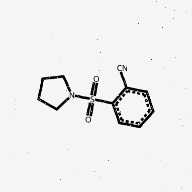 N#Cc1ccccc1S(=O)(=O)N1CCCC1